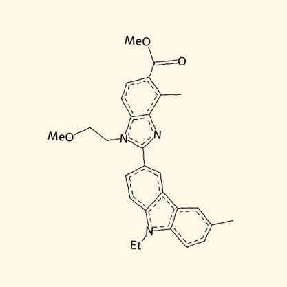 CCn1c2ccc(C)cc2c2cc(-c3nc4c(C)c(C(=O)OC)ccc4n3CCOC)ccc21